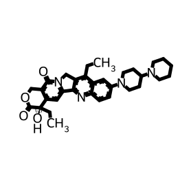 CCc1c2c(nc3ccc(N4CCC(N5CCCCC5)CC4)cc13)-c1cc3c(c(=O)n1C2)COC(=O)[C@]3(O)CC